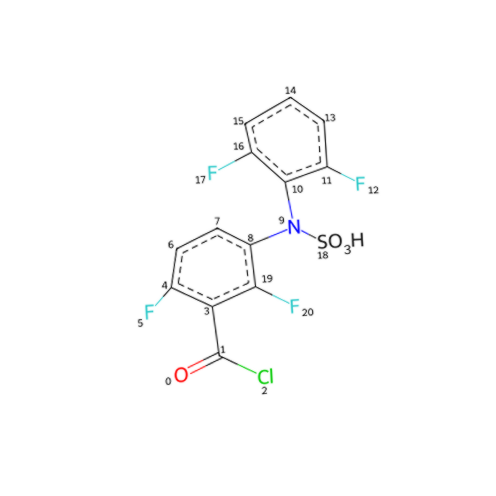 O=C(Cl)c1c(F)ccc(N(c2c(F)cccc2F)S(=O)(=O)O)c1F